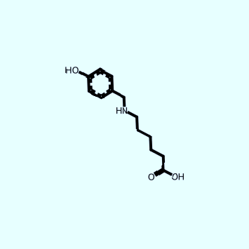 O=C(O)CCCCCNCc1ccc(O)cc1